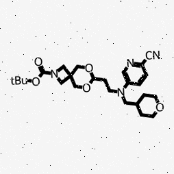 CC(C)(C)OC(=O)N1CC2(COC(CCN(CC3CCOCC3)c3ccc(C#N)nc3)OC2)C1